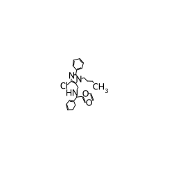 CCCCn1c(-c2ccccc2)nc(Cl)c1CNC(C1=CC=CCC1)C1=COC=CO1